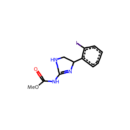 COC(=O)NC1=NC(c2ccccc2I)CN1